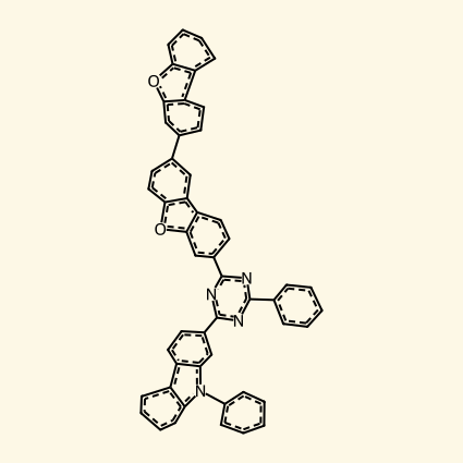 c1ccc(-c2nc(-c3ccc4c(c3)oc3ccc(-c5ccc6c(c5)oc5ccccc56)cc34)nc(-c3ccc4c5ccccc5n(-c5ccccc5)c4c3)n2)cc1